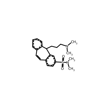 CN(C)CCCC1c2ccccc2C=Cc2ccc(S(=O)(=O)N(C)C)cc21